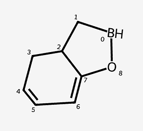 B1CC2CC=CC=C2O1